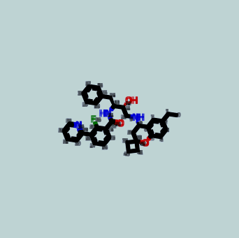 CCc1ccc2c(c1)[C@@H](NC[C@@H](O)[C@H](Cc1ccccc1)NC(=O)c1cccc(-c3ccccn3)c1F)CC1(CCC1)O2